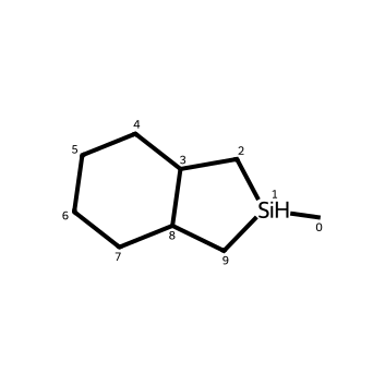 C[SiH]1CC2CCCCC2C1